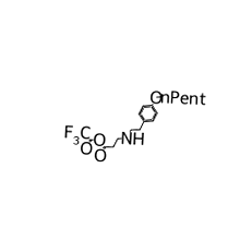 CCCCCOc1ccc(CCNCCC(=O)OC(=O)C(F)(F)F)cc1